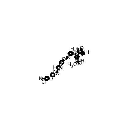 CCS(=O)(=O)Nc1ccc(Oc2cccc(OCCOC3CCN(c4ccc(C(=O)NC5CCC(Oc6ccc(C#N)c(Cl)c6)CC5)cn4)CC3)c2)c(-c2cn(C)c(=O)c3[nH]ccc23)c1